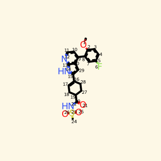 COc1ccc(F)cc1-c1ccnc2[nH]c(C3=CCC(C(=O)NS(C)(=O)=O)CC3)cc12